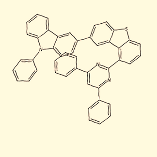 c1ccc(-c2cc(-c3ccccc3)nc(-c3cccc4sc5ccc(-c6ccc7c(c6)c6ccccc6n7-c6ccccc6)cc5c34)n2)cc1